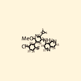 COc1nc(C2CC2)c(Nc2ccnc3ccncc23)cc1-c1cc(Cl)ccc1F